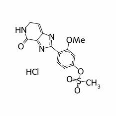 COc1cc(OS(C)(=O)=O)ccc1C1=NC2=CCNC(=O)C2=N1.Cl